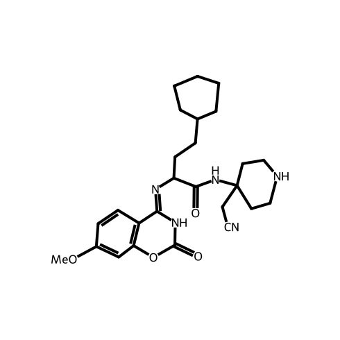 COc1ccc2c(=NC(CCC3CCCCC3)C(=O)NC3(CC#N)CCNCC3)[nH]c(=O)oc2c1